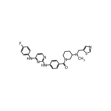 CN(Cc1cncs1)C1CCCN(C(=O)c2ccc(Nc3nccc(Nc4ccc(F)cc4)n3)cc2)C1